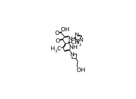 CC1=C2C(=O)C(C(=O)O)=CN(c3ncns3)C2(C)NC(N2CC(CCO)C2)=C1